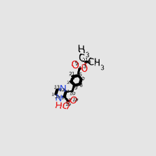 CC(C)OC(=O)c1ccc(Cc2nccnc2C(=O)O)cc1